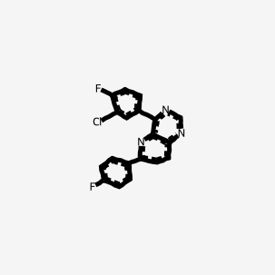 Fc1ccc(-c2ccc3ncnc(-c4ccc(F)c(Cl)c4)c3n2)cc1